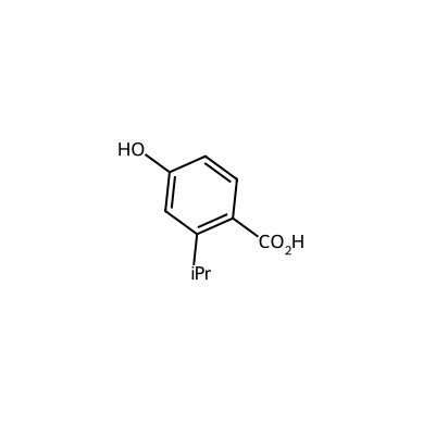 CC(C)c1cc(O)ccc1C(=O)O